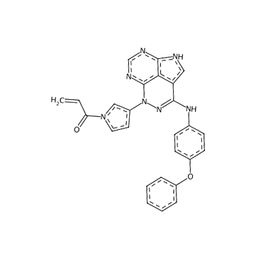 C=CC(=O)n1ccc(N2N=C(Nc3ccc(Oc4ccccc4)cc3)c3c[nH]c4ncnc2c34)c1